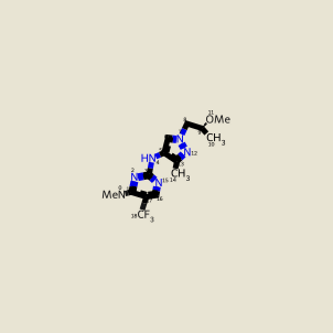 CNc1nc(Nc2cn(C[C@@H](C)OC)nc2C)ncc1C(F)(F)F